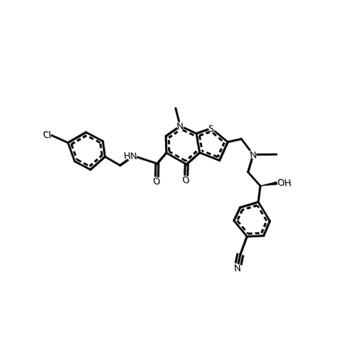 CN(Cc1cc2c(=O)c(C(=O)NCc3ccc(Cl)cc3)cn(C)c2s1)C[C@@H](O)c1ccc(C#N)cc1